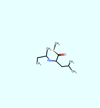 CCC(C)NC(CC(C)C)C(=O)SC